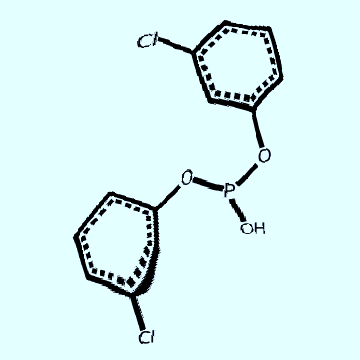 OP(Oc1cccc(Cl)c1)Oc1cccc(Cl)c1